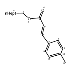 CCCCCCCCOC(=O)C=Cc1ccc(C)cc1